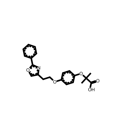 CC(C)(Oc1ccc(OCCc2coc(-c3ccccc3)n2)cc1)C(=O)O